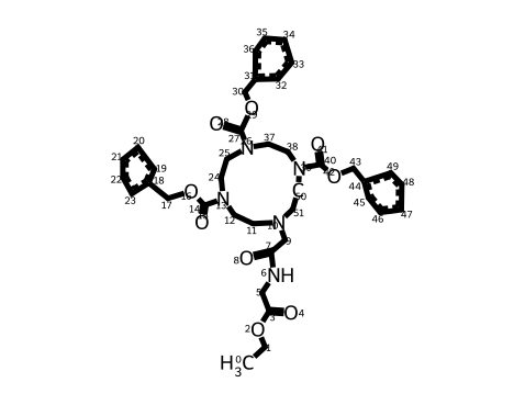 CCOC(=O)CNC(=O)CN1CCN(C(=O)OCc2ccccc2)CCN(C(=O)OCc2ccccc2)CCN(C(=O)OCc2ccccc2)CC1